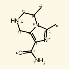 Cc1nc(C(N)=O)c2n1C(C)CNC2